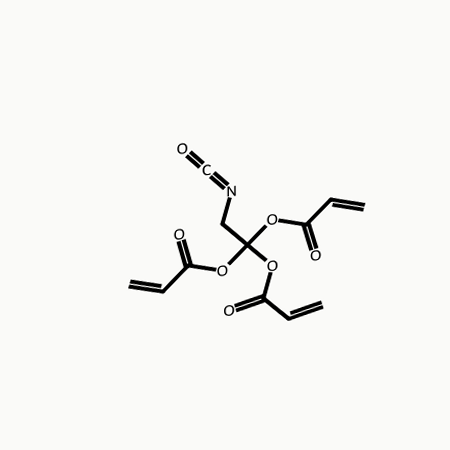 C=CC(=O)OC(CN=C=O)(OC(=O)C=C)OC(=O)C=C